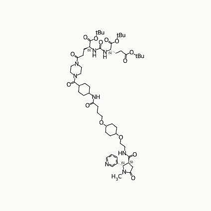 CN1C(=O)C[C@H](C(=O)NCCOC2CCC(OCCCC(=O)NC3CCC(C(=O)N4CCN(C(=O)CC[C@H](NC(=O)N[C@@H](CCC(=O)OC(C)(C)C)C(=O)OC(C)(C)C)C(=O)OC(C)(C)C)CC4)CC3)CC2)[C@H]1c1cccnc1